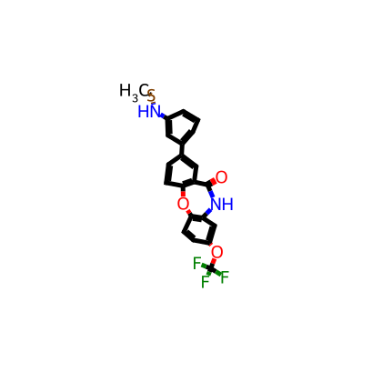 CSNc1cccc(-c2ccc3c(c2)C(=O)Nc2cc(OC(F)(F)F)ccc2O3)c1